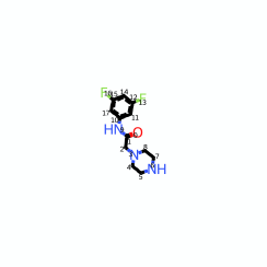 O=C(CN1CCNCC1)Nc1cc(F)cc(F)c1